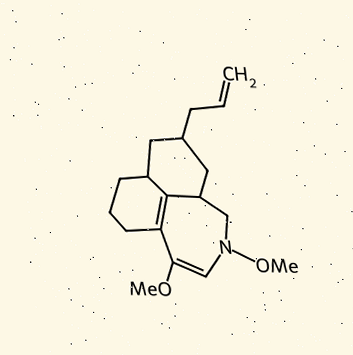 C=CCC1CC2CCCC3=C2C(C1)CN(OC)C=C3OC